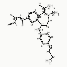 C=NN(C)/C=C(\C)c1ccc2c(c1)C(Nc1ccc(OCCO)cc1)CCN(N)/C2=C(/C)N